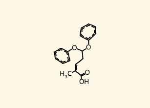 CC(=CCC(Oc1ccccc1)Oc1ccccc1)C(=O)O